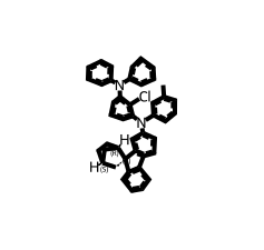 Cc1cccc(N(c2ccc3c(c2)[C@@]2(C[C@H]4CC[C@@H]2C4)c2ccccc2-3)c2cccc(N(c3ccccc3)c3ccccc3)c2Cl)c1